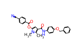 Cc1c(C(=O)Nc2ccc(OCc3ccccc3)cc2)cc(OC(=O)c2ccc(C#N)cc2)n1C